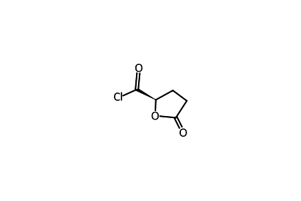 O=C1CC[C@H](C(=O)Cl)O1